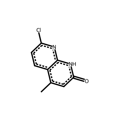 Cc1cc(=O)[nH]c2nc(Cl)ccc12